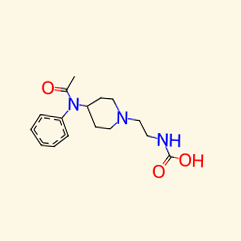 CC(=O)N(c1ccccc1)C1CCN(CCNC(=O)O)CC1